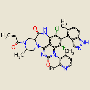 C=CC(=O)N1CC2C(=O)Nc3c(Cl)c(-c4c(C)ccc5[nH]ncc45)c(F)c4c3c(nc(=O)n4-c3c(C)ccnc3C(C)C)N2CC1C